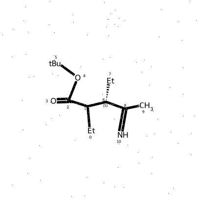 [CH2]CC(C(=O)OC(C)(C)C)[C@H](CC)C(C)=N